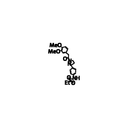 CCS(=O)(=O)Nc1ccc(C2=NN(C(=O)Cc3ccc(OC)c(OC)c3)CC2)cc1